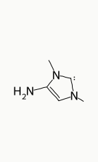 CN1[C]N(C)C(N)=C1